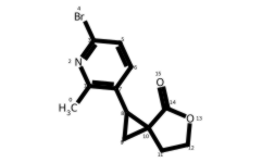 Cc1nc(Br)ccc1C1CC12CCOC2=O